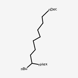 [CH2]CCCC(CCCCCC)CCCCCCCCCCCCCCCCC